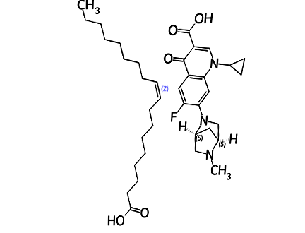 CCCCCCCC/C=C\CCCCCCCC(=O)O.CN1C[C@@H]2C[C@H]1CN2c1cc2c(cc1F)c(=O)c(C(=O)O)cn2C1CC1